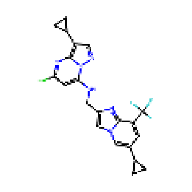 FC(F)(F)c1cc(C2CC2)cn2cc(CNc3cc(Cl)nc4c(C5CC5)cnn34)nc12